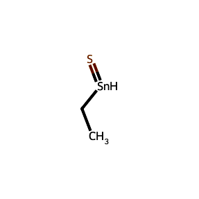 C[CH2][SnH]=[S]